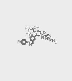 Cc1cc2c(cnn2-c2ccc(F)cc2)cc1C1CN(S(=O)(=O)c2cnn(C)n2)CCN1CC(C)O